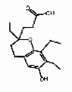 CCc1c(O)cc2c(c1CC)OC(CC)(CCC(=O)O)CC2